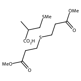 COC(=O)CCSCCC(=O)OC.CSCC(C)C(=O)O